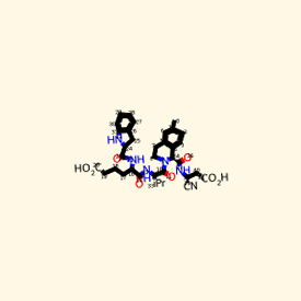 Cc1ccc2c(c1)CCN(C(=O)C(NC(=O)C(CCCC(=O)O)NC(=O)C1Cc3ccccc3N1)C(C)C)[C@@H]2C(=O)N[C@H](C#N)CC(=O)O